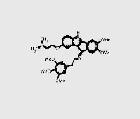 COc1cc2c(cc1OC)-c1[nH]c3ccc(OCCN(C)C)cc3c1/C2=N\OCc1cc(OC)c(OC)c(OC)c1